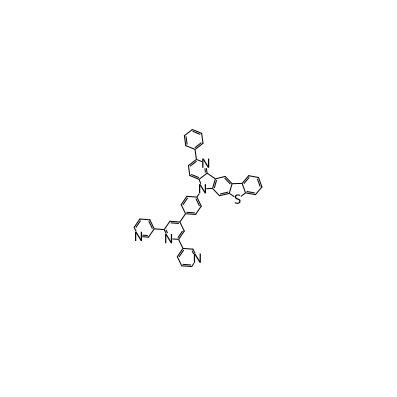 c1ccc(-c2ccc3c(n2)c2cc4c(cc2n3-c2ccc(-c3cc(-c5cccnc5)nc(-c5cccnc5)c3)cc2)sc2ccccc24)cc1